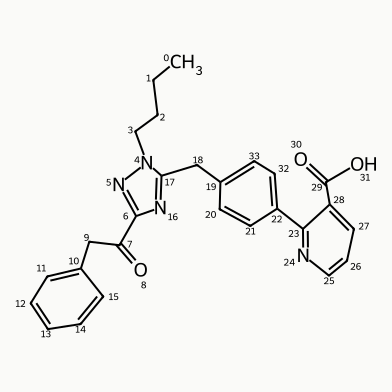 CCCCn1nc(C(=O)Cc2ccccc2)nc1Cc1ccc(-c2ncccc2C(=O)O)cc1